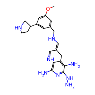 COc1cc(CN/C=C(\C=N)Cc2cc(N)nc(NN)c2N)cc(C2CCNC2)c1